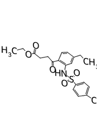 CCOC(=O)CCC(=O)c1ccc(CC)cc1NS(=O)(=O)c1ccc(Cl)cc1